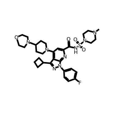 CN1CCN(S(=O)(=O)NC(=O)c2cc(N3CCC(N4CCOCC4)CC3)c3c(C4CCC4)nn(-c4ccc(F)cc4)c3n2)CC1